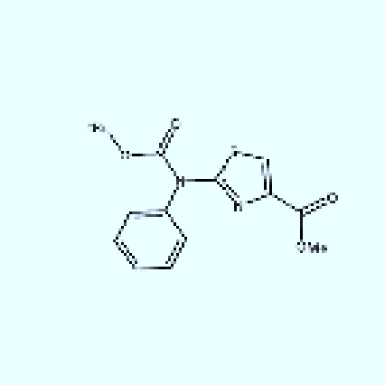 COC(=O)c1csc(N(C(=O)OC(C)(C)C)c2ccccc2)n1